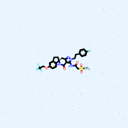 CS(=O)(=O)CC(=O)Nc1c2c(nn1CCc1ccc(F)cc1)C[C@@]1(CCc3cc(OCC(F)(F)F)ccc31)NC2=O